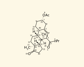 CCCC(=O)C1C=C2C[C@@H](OC(C)=O)CC[C@]2(C)[C@H]2CC[C@]3(C)C(=O)CC[C@H]3[C@H]12